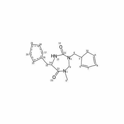 CN1CN(CC2C=CC=CC2)C(=O)NC(Cc2ccccc2)C1=O